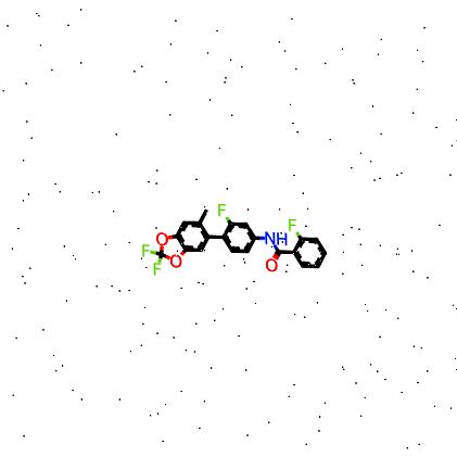 Cc1cc2c(cc1-c1ccc(NC(=O)c3ccccc3F)cc1F)OC(F)(F)O2